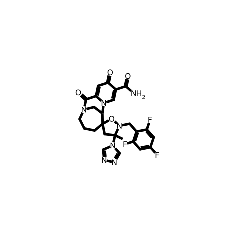 CC1(n2cnnc2)CC2(CCCN3CC2n2cc(C(N)=O)c(=O)cc2C3=O)ON1Cc1c(F)cc(F)cc1F